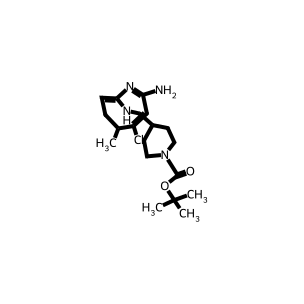 CC1C/C=C(NCC2CCN(C(=O)OC(C)(C)C)CC2)/N=C(N)\C=C/1Cl